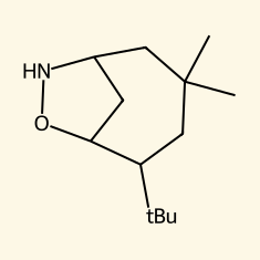 CC1(C)CC2CC(ON2)C(C(C)(C)C)C1